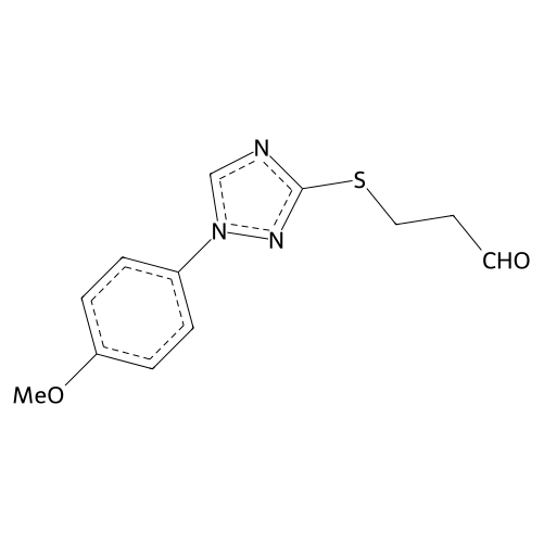 COc1ccc(-n2cnc(SCCC=O)n2)cc1